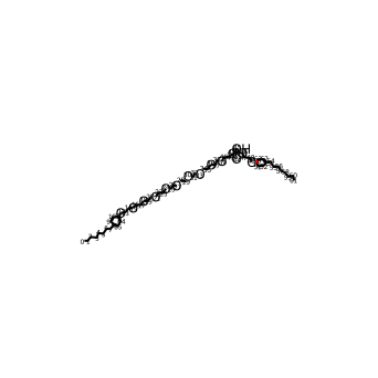 CCCCCCCCc1ccc(OCCOCCOCCOCCOCCOCCOCCOCCOCCOCCOP(=O)(O)OCCOc2ccc(CCCCCCCC)cc2)cc1